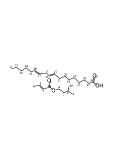 CC=CC(=O)OCCC(C)C.CCCCCC=CCC=CCCCCCCCC(=O)O